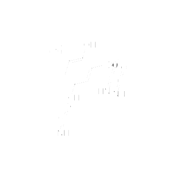 Cc1cc(C(C)(C)C)c(O)c(C(C)(C)C)c1.N=C=O.N=C=O.N=C=O